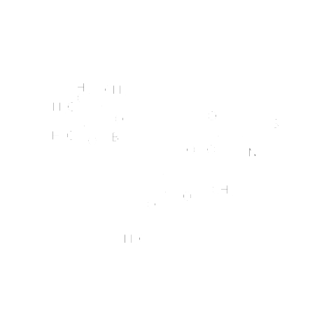 CCOC(=O)C1(C(CC)OOC(=O)c2cscn2)CC=C(B2OC(C)(C)C(C)(C)O2)CC1